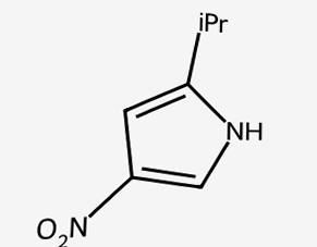 CC(C)c1cc([N+](=O)[O-])c[nH]1